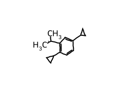 C[C](C)c1cc(C2CC2)ccc1C1CC1